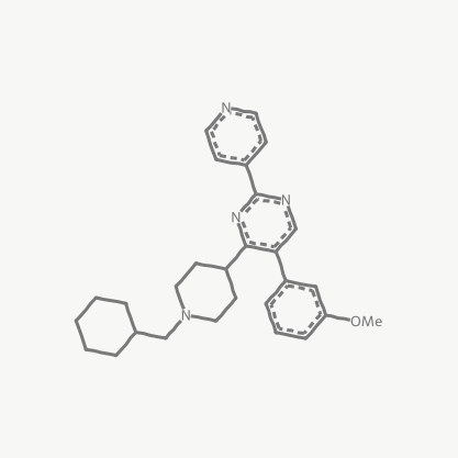 COc1cccc(-c2cnc(-c3ccncc3)nc2C2CCN(CC3CCCCC3)CC2)c1